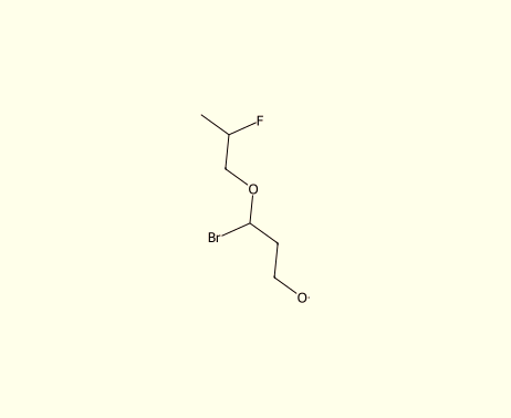 CC(F)COC(Br)CC[O]